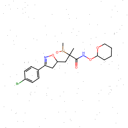 C[S+]([O-])C(C)(CC1CC(c2ccc(Br)cc2)=NO1)C(=O)NOC1CCCCO1